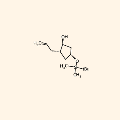 C=CC[C@H]1C[C@H](O[Si](C)(C)C(C)(C)C)C[C@@H]1O